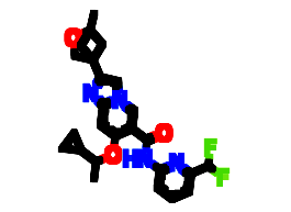 CC(Oc1cc2nc(C34COC(C)(C3)C4)cn2cc1C(=O)Nc1cccc(C(F)F)n1)C1CC1